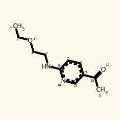 CCOCCNc1ccc(C(C)=O)cn1